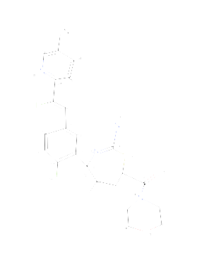 CC1CC(C(=O)N2CCOCC2)SC(N)=N[C@]1(C)c1cc(/C=C(\F)c2ccc(C#N)cn2)ccc1F